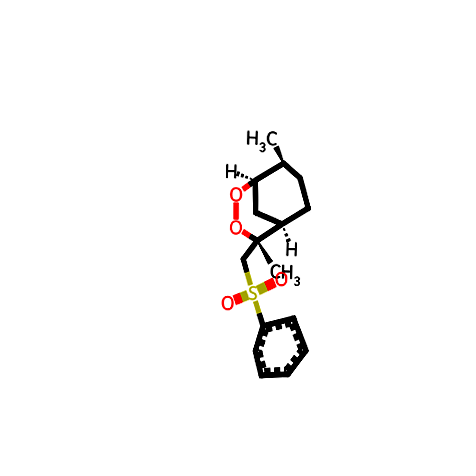 C[C@H]1CC[C@@H]2C[C@H]1OO[C@@]2(C)CS(=O)(=O)c1ccccc1